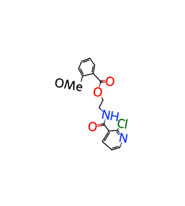 COc1ccccc1C(=O)OCCNC(=O)c1cccnc1Cl